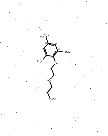 COCCOCCOc1c(C)cc(OC)cc1OC